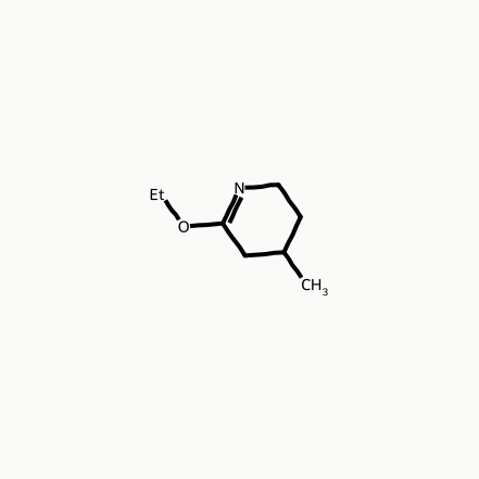 CCOC1=NCCC(C)C1